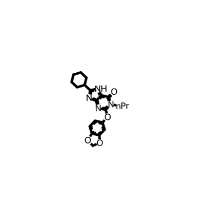 CCCn1c(Oc2ccc3c(c2)OCO3)nc2nc(C3CCCCC3)[nH]c2c1=O